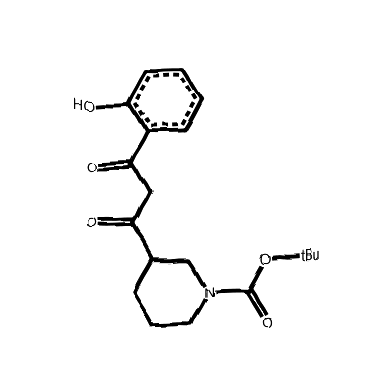 CC(C)(C)OC(=O)N1CCCC(C(=O)CC(=O)c2ccccc2O)C1